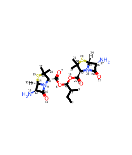 CCC(C)C(OC(=O)[C@@H]1N2C(=O)[C@@H](N)[C@H]2SC1(C)C)OC(=O)[C@@H]1N2C(=O)[C@@H](N)[C@H]2SC1(C)C